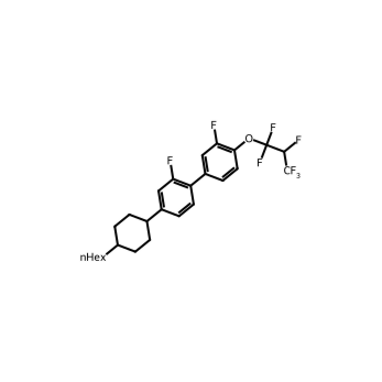 CCCCCCC1CCC(c2ccc(-c3ccc(OC(F)(F)C(F)C(F)(F)F)c(F)c3)c(F)c2)CC1